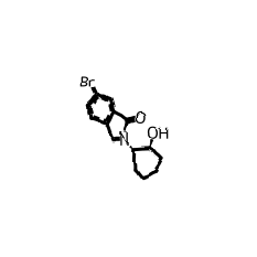 O=C1c2cc(Br)ccc2CN1[C@H]1CCCC[C@@H]1O